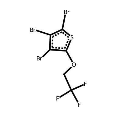 FC(F)(F)COc1sc(Br)c(Br)c1Br